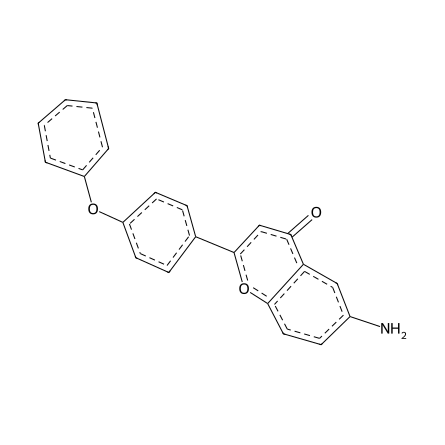 Nc1ccc2oc(-c3ccc(Oc4ccccc4)cc3)cc(=O)c2c1